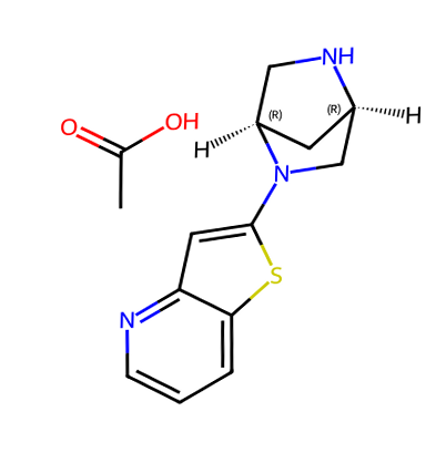 CC(=O)O.c1cnc2cc(N3C[C@H]4C[C@@H]3CN4)sc2c1